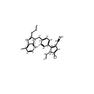 CCCc1nc2c(C)ccnc2n1Cc1ccc(-c2c(C#N)cc(Cl)n2CC)cc1